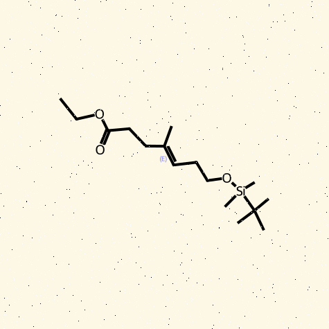 CCOC(=O)CC/C(C)=C/CCO[Si](C)(C)C(C)(C)C